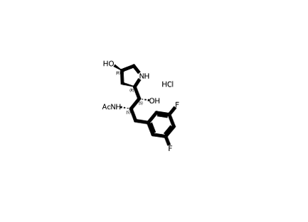 CC(=O)N[C@@H](Cc1cc(F)cc(F)c1)[C@@H](O)[C@H]1C[C@@H](O)CN1.Cl